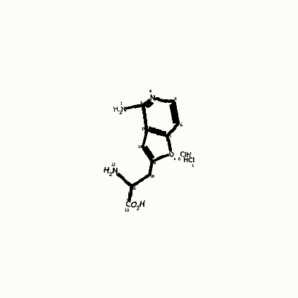 Cl.Cl.Nc1nccc2oc(CC(N)C(=O)O)cc12